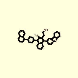 C=c1c(-c2ccc(-c3cccc4ccccc34)cc2)c2ccccc2c(-c2ccc3sc4ccccc4c3c2)/c1=C/C=N